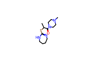 CC(SC1=NCCCCN1)C(=O)N1CCN(C)CC1